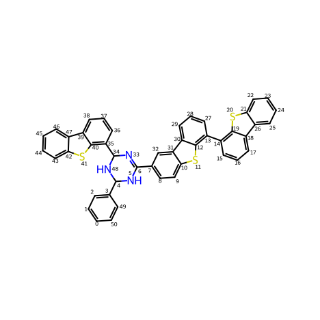 c1ccc(C2NC(c3ccc4sc5c(-c6cccc7c6sc6ccccc67)cccc5c4c3)=NC(c3cccc4c3sc3ccccc34)N2)cc1